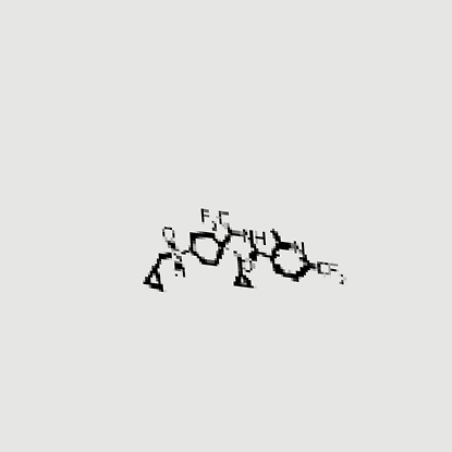 Cc1nc(C(F)(F)F)ccc1C(=O)NC(C(F)(F)F)[C@]1(CC2CC2)CC[C@H](S(=O)(=O)CC2CC2)CC1